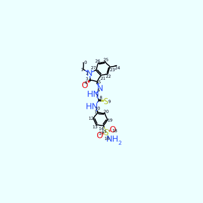 CCN1C(=O)C(=NNC(=S)Nc2ccc(S(N)(=O)=O)cc2)c2cc(C)ccc21